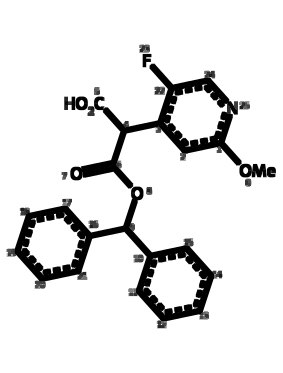 COc1cc(C(C(=O)O)C(=O)OC(c2ccccc2)c2ccccc2)c(F)cn1